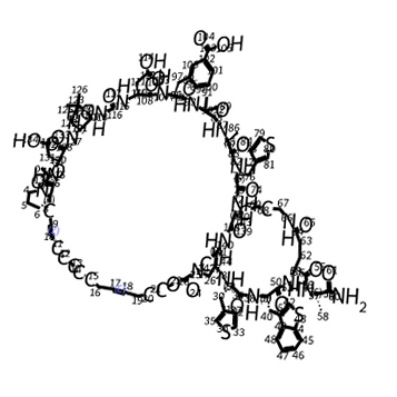 CC(=O)N1CCC[C@]12C/C=C\CCCCCC/C=C/CCCOC(=O)N1CC3N[C@@H](Cc4ccsc4)C(=O)N[C@@H](Cc4csc5ccccc45)C(=O)N[C@H](C(=O)N[C@@H](C)C(N)=O)CCC(=O)NCCCC[C@H](NC(=O)[C@H](Cc4ccsc4)NC(=O)[C@H](C)NC(=O)C(C)(C)NC(=O)[C@H](Cc4cccc(C(=O)O)c4)NC(=O)[C@H](CC(=O)O)NC(=O)NC(O)[C@H](CC(C)(C)C)NC(=O)[C@H](CC(=O)O)NC2=O)C(=O)N[C@@H]3C1